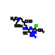 COCCN(C)/C=C\C=C(/C=O)CCNc1nc2c(Cl)c(C)nn2c(N)c1C#N